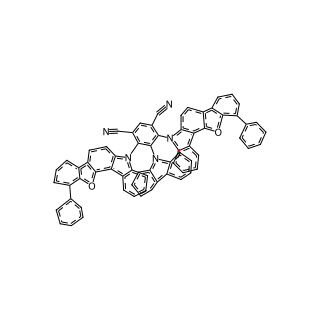 N#Cc1cc(C#N)c(-n2c3ccccc3c3c4oc5c(-c6ccccc6)cccc5c4ccc32)c(-n2c3ccccc3c3ccccc32)c1-n1c2ccccc2c2c3oc4c(-c5ccccc5)cccc4c3ccc21